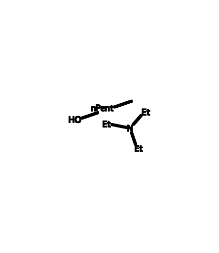 CCCCCC.CCN(CC)CC.CO